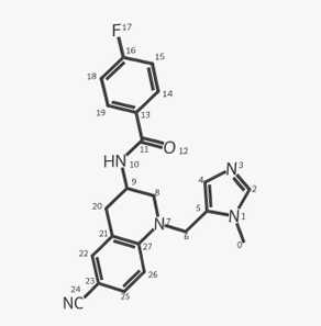 Cn1cncc1CN1CC(NC(=O)c2ccc(F)cc2)Cc2cc(C#N)ccc21